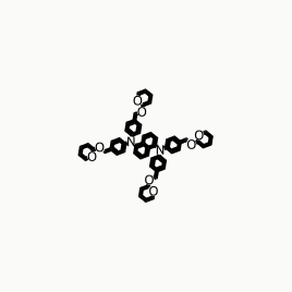 c1cc(N(c2ccc(COC3CCCCO3)cc2)c2ccc(COC3CCCCO3)cc2)c2cccc(N(c3ccc(COC4CCCCO4)cc3)c3ccc(COC4CCCCO4)cc3)c2c1